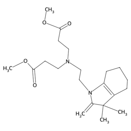 C=C1N(CCN(CCC(=O)OC)CCC(=O)OC)C2=C(CCCC2)C1(C)C